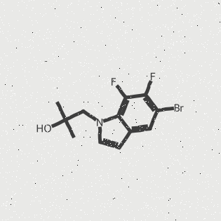 CC(C)(O)Cn1ccc2cc(Br)c(F)c(F)c21